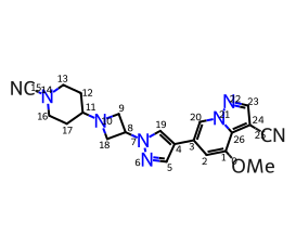 COc1cc(-c2cnn(C3CN(C4CCN(C#N)CC4)C3)c2)cn2ncc(C#N)c12